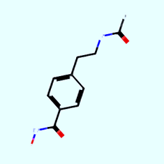 CC(C)C(=O)NCCc1ccc(C(=O)NO)cc1